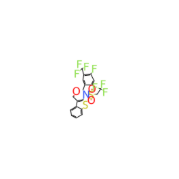 O=Cc1c(N(Cc2ccc(F)c(C(F)(F)F)c2)S(=O)(=O)CC(F)(F)F)sc2ccccc12